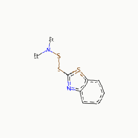 CCN(CC)SSc1nc2ccccc2s1